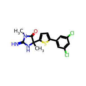 CN1C(=N)NC(C)(c2ccc(-c3cc(Cl)cc(Cl)c3)s2)C1=O